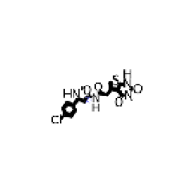 CO/C(=C\C(=N)c1ccc(Cl)cc1)NC(=O)Cc1csc2[nH]c(=O)n(C)c(=O)c12